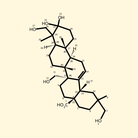 CC1(CO)CC[C@]2(C(=O)O)CC[C@]3(CO)C(=CC[C@@H]4[C@@]5(C)CCC(O)(O)C(C)(CO)[C@@H]5CC[C@]43C)[C@@H]2C1